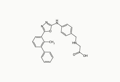 Cc1c(-c2ccccc2)cccc1-c1nnc(Nc2ccc(CNCC(=O)O)cc2)o1